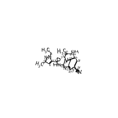 CCn1nc(C)cc1C(=O)Nc1nc2cc(C#N)cc(I)c2n1C[C@@H](C)CO